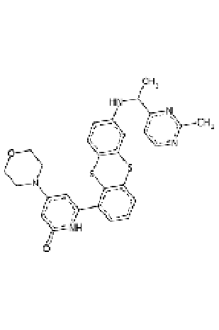 Cc1nccc(C(C)Nc2ccc3c(c2)Sc2cccc(-c4cc(N5CCOCC5)cc(=O)[nH]4)c2S3)n1